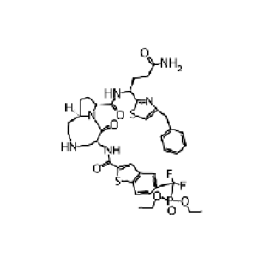 CCOP(=O)(OCC)C(F)(F)c1ccc2sc(C(=O)N[C@H]3CNCC[C@H]4CC[C@@H](C(=O)N[C@@H](CCC(N)=O)c5nc(Cc6ccccc6)cs5)N4C3=O)cc2c1